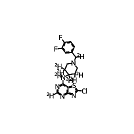 [2H]c1nc(N([2H])C2([2H])C([2H])([2H])CN(C([2H])c3ccc(F)c(F)c3)CC2([2H])[2H])c2sc(Cl)nc2n1